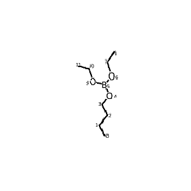 CCCCOB(OCC)OCC